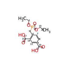 CCOP(=O)(Cc1ccc(C(=O)O)cc1C(=O)O)OCC